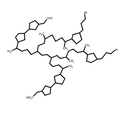 CC(C)CCCC1CCC(C(C)CCCC(C)CCC(CCCC(C)C2CCC(C3CCC(CC=O)C3)C2)CCC(CCCC(C)C2CCC(C3CCC(CC(=O)O)C3)C2)CCC(C)CCCC(C)C2CCC(CCCC(C)C)C2)C1